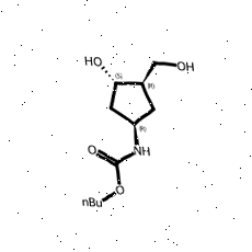 CCCCOC(=O)N[C@@H]1C[C@H](CO)[C@@H](O)C1